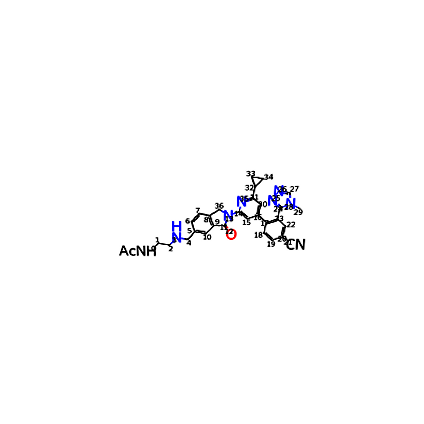 CC(=O)NCCNCc1ccc2c(c1)C(=O)N(c1cc(-c3ccc(C#N)cc3-c3nncn3C)cc(C3CC3)n1)C2